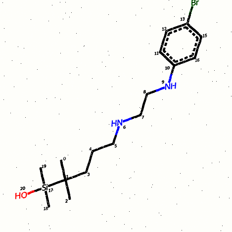 CC(C)(CCCNCCNc1ccc(Br)cc1)[Si](C)(C)O